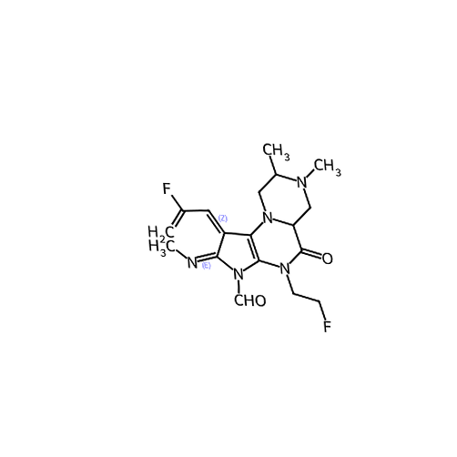 C=C(F)/C=C1/C2=C(N(CCF)C(=O)C3CN(C)C(C)CN23)N(C=O)/C1=N/C